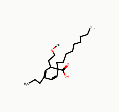 CCCCCCCCCC1(C(=O)O)C=CC(CCC)=CC1CCOC